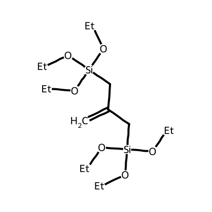 C=C(C[Si](OCC)(OCC)OCC)C[Si](OCC)(OCC)OCC